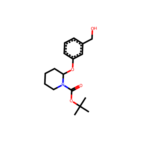 CC(C)(C)OC(=O)N1CCCCC1Oc1cccc(CO)c1